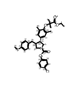 CCOC(=O)C(C)(C)Oc1c(C)cc([C@H]2CN(C(=O)Oc3ccc(Cl)cc3)CC2Cc2ccc(SC)cc2)cc1C